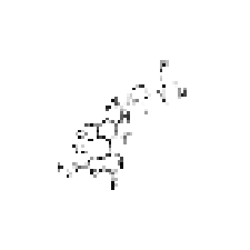 C[C@H]1[C@@H](N2CCN(C)C[C@H]2CF)CCN1c1ncc2c3c(c(-c4ncc(F)c5sc(N)c(C#N)c45)c(F)c2n1)COC3